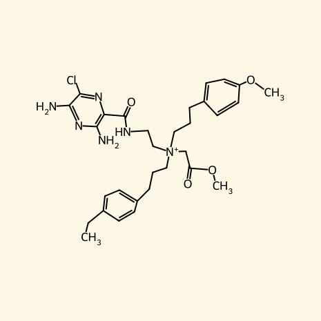 CCc1ccc(CCC[N+](CCCc2ccc(OC)cc2)(CCNC(=O)c2nc(Cl)c(N)nc2N)CC(=O)OC)cc1